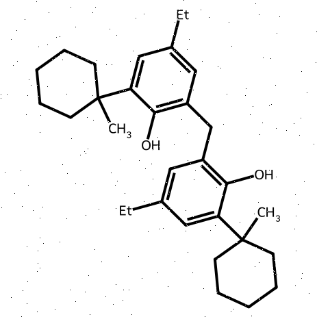 CCc1cc(Cc2cc(CC)cc(C3(C)CCCCC3)c2O)c(O)c(C2(C)CCCCC2)c1